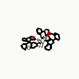 c1ccc(-c2ccccc2C2NC(c3ccc4c(c3)C3(c5ccccc5O4)c4ccccc4-c4ccccc43)NC(c3c4ccccc4cc4c3ccc3ccccc34)N2)cc1